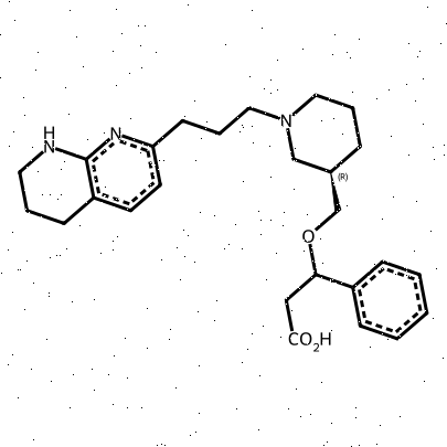 O=C(O)CC(OC[C@@H]1CCCN(CCCc2ccc3c(n2)NCCC3)C1)c1ccccc1